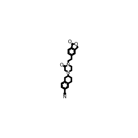 N#Cc1ccc2c(c1)CCC(N1CCN(CCc3ccc4c(c3)COC4=O)C(=O)C1)C2